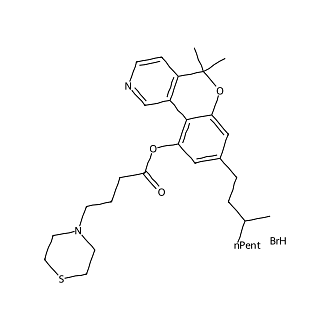 Br.CCCCCC(C)CCc1cc(OC(=O)CCCN2CCSCC2)c2c(c1)OC(C)(C)c1ccncc1-2